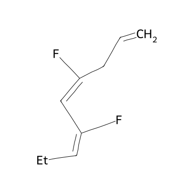 C=CC/C(F)=C\C(F)=C/CC